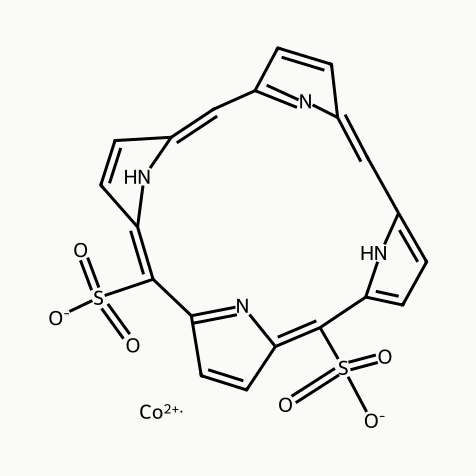 O=S(=O)([O-])c1c2nc(c(S(=O)(=O)[O-])c3ccc(cc4nc(cc5ccc1[nH]5)C=C4)[nH]3)C=C2.[Co+2]